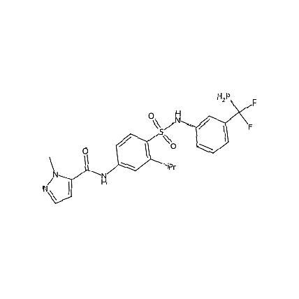 CC(C)c1cc(NC(=O)c2ccnn2C)ccc1S(=O)(=O)Nc1cccc(C(F)(F)P)c1